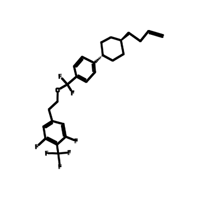 C=CCC[C@H]1CC[C@H](c2ccc(C(F)(F)OCCc3cc(F)c(C(F)(F)F)c(F)c3)cc2)CC1